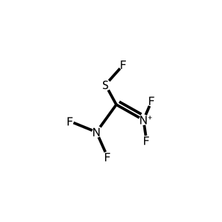 FSC(N(F)F)=[N+](F)F